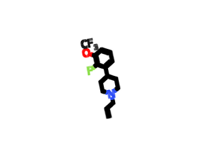 C=CCN1CCC(c2cccc(OC(F)(F)F)c2F)CC1